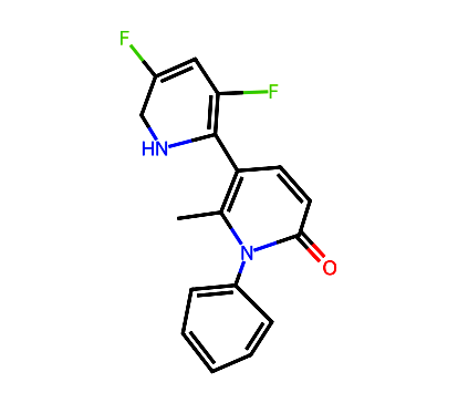 Cc1c(C2=C(F)C=C(F)CN2)ccc(=O)n1-c1ccccc1